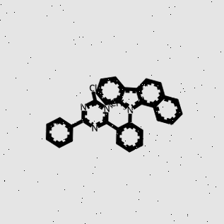 C[n+]1c(Cl)nc(-c2ccccc2)nc1-c1ccccc1-n1c2ccccc2c2ccc3ccccc3c21